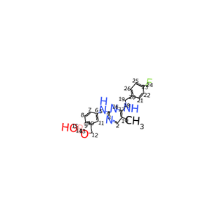 Cc1cnc(Nc2ccc3c(c2)COB3O)nc1NCc1ccc(F)cc1